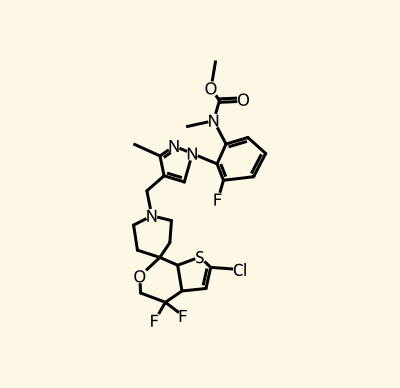 COC(=O)N(C)c1cccc(F)c1-n1cc(CN2CCC3(CC2)OCC(F)(F)C2C=C(Cl)SC23)c(C)n1